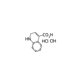 Cl.Cl.O=C(O)C1=CCNc2ccccc21